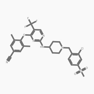 Cc1cc(C#N)cc(C)c1Oc1nc(NC2CCN(Cc3ccc(S(C)(=O)=O)cc3Cl)CC2)ncc1C(F)(F)F